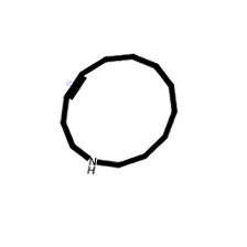 C1=C\CCNCCCCCCCC/1